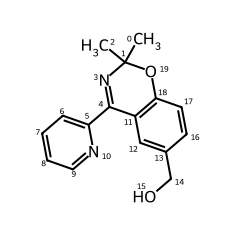 CC1(C)N=C(c2ccccn2)c2cc(CO)ccc2O1